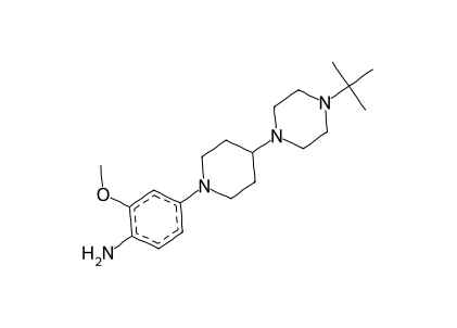 COc1cc(N2CCC(N3CCN(C(C)(C)C)CC3)CC2)ccc1N